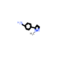 Cn1nc[c]c1-c1ccc(CN)cc1